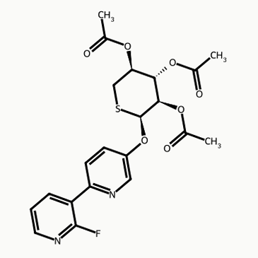 CC(=O)O[C@@H]1[C@@H](OC(C)=O)[C@@H](Oc2ccc(-c3cccnc3F)nc2)SC[C@H]1OC(C)=O